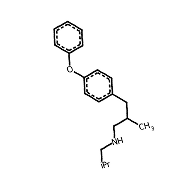 CC(C)CNCC(C)Cc1ccc(Oc2ccccc2)cc1